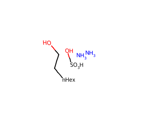 CCCCCCCCO.N.N.O=S(=O)(O)O